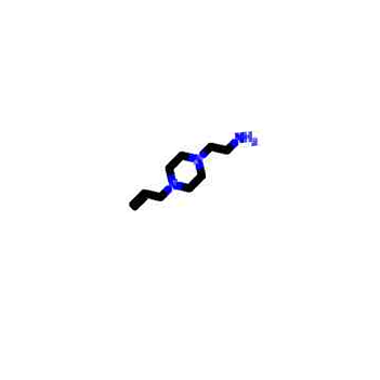 C=CCN1CCN(CCN)CC1